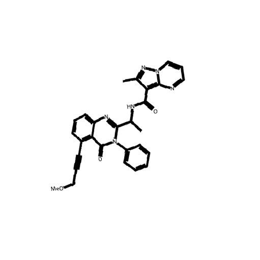 COCC#Cc1cccc2nc(C(C)NC(=O)c3c(C)nn4cccnc34)n(-c3ccccc3)c(=O)c12